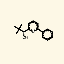 CC(C)(C)[C@H](O)c1cccc(-c2ccccc2)n1